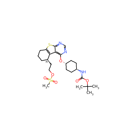 CC(C)(C)OC(=O)N[C@H]1CC[C@H](Oc2ncnc3sc4c(c23)[C@@H](CCOS(C)(=O)=O)CCC4)CC1